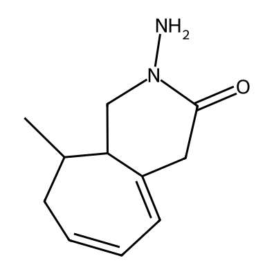 CC1CC=CC=C2CC(=O)N(N)CC21